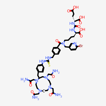 NC(=O)CN1CCN(CC(N)=O)CCN(CC(N)=O)C(Cc2ccc(NC(=S)NCc3ccc(C(=O)N(CCCC[C@@H](NC(=O)N[C@H](CCC(=O)O)C(=O)O)C(=O)O)Cc4ccc(Br)nc4)cc3)cc2)CN(CC(N)=O)CC1